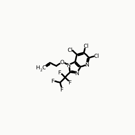 C=CCOn1c(C(F)(F)C(F)F)nc2nc(Cl)c(Cl)c(Cl)c21